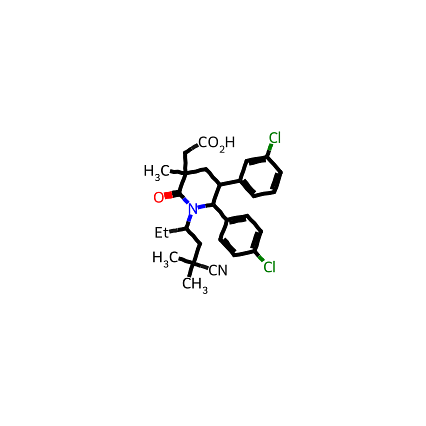 CCC(CC(C)(C)C#N)N1C(=O)C(C)(CC(=O)O)CC(c2cccc(Cl)c2)C1c1ccc(Cl)cc1